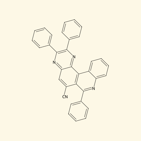 N#Cc1cc2nc(-c3ccccc3)c(-c3ccccc3)nc2c2c1c(-c1ccccc1)nc1ccccc12